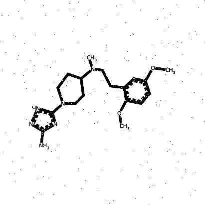 COc1ccc(OC)c(CCN(C)C2CCN(c3nc(N)n[nH]3)CC2)c1